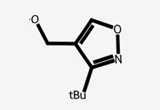 CC(C)(C)c1nocc1C[O]